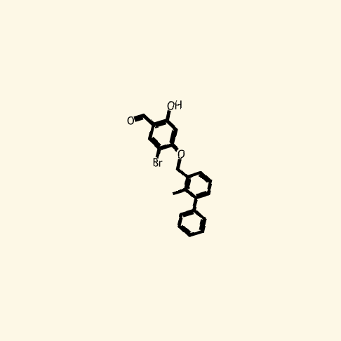 Cc1c(COc2cc(O)c(C=O)cc2Br)cccc1-c1ccccc1